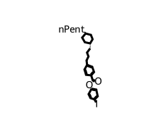 CCCCC[C@H]1CC[C@H](CCCCc2ccc(C(=O)Oc3ccc(I)cc3)cc2)CC1